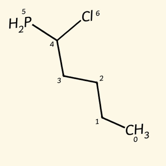 CCCCC(P)Cl